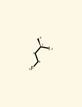 C[C@@H](I)CCF